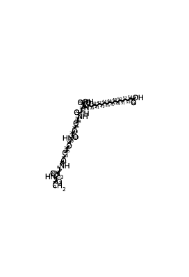 C=CC(=O)[C@H](CCCCNCOCCOCCOCCNC(=O)COCCOCCNC(=O)CC[C@H](NC(=O)CCCCCCCCCCCCCCCCC(=O)O)C(=O)O)NC